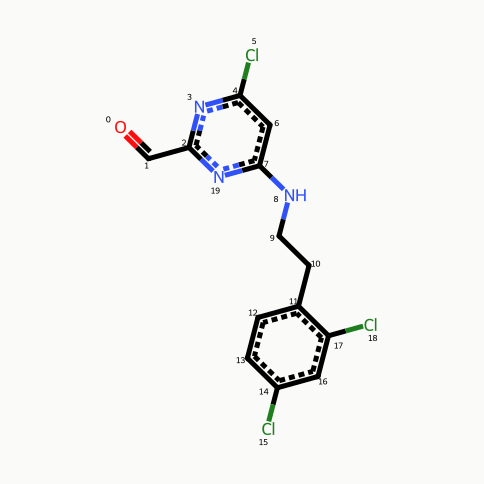 O=Cc1nc(Cl)cc(NCCc2ccc(Cl)cc2Cl)n1